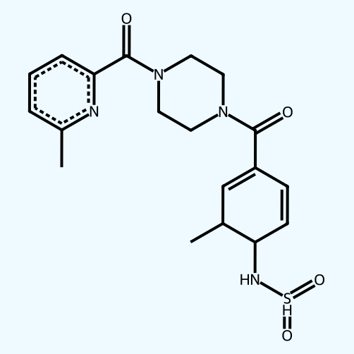 Cc1cccc(C(=O)N2CCN(C(=O)C3=CC(C)C(N[SH](=O)=O)C=C3)CC2)n1